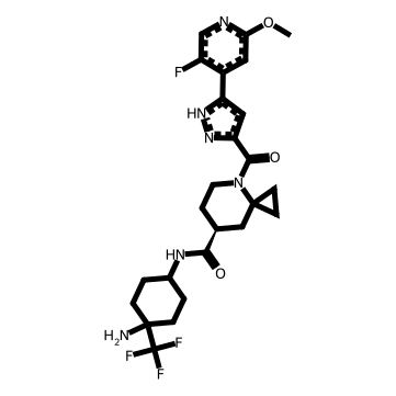 COc1cc(-c2cc(C(=O)N3CC[C@H](C(=O)NC4CCC(N)(C(F)(F)F)CC4)CC34CC4)n[nH]2)c(F)cn1